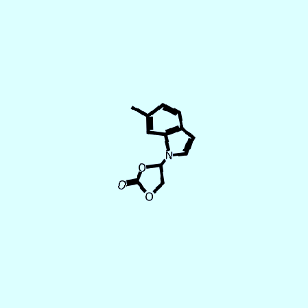 Cc1ccc2ccn(C3COC(=O)O3)c2c1